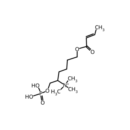 CC=CC(=O)OCCCCC(COP(=O)(O)O)[N+](C)(C)C